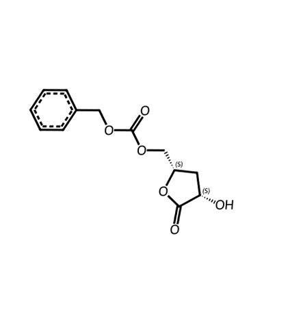 O=C(OCc1ccccc1)OC[C@@H]1C[C@H](O)C(=O)O1